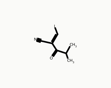 CC(C)C(=O)C(C#N)=CI